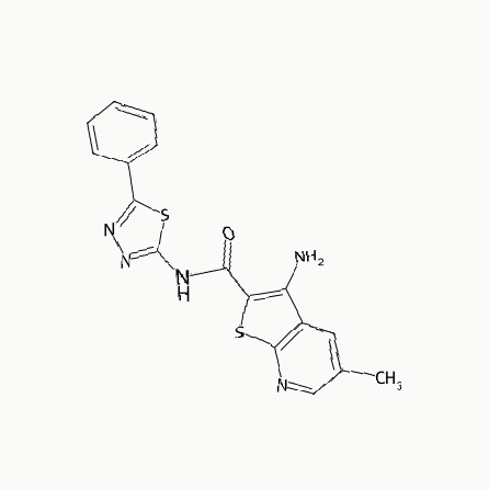 Cc1cnc2sc(C(=O)Nc3nnc(-c4ccccc4)s3)c(N)c2c1